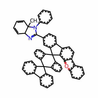 CC12C=CC=CC1N=C(c1ccc3c(c1)C1(c4ccccc4C4(c5ccccc5-c5ccccc54)c4ccccc41)c1c-3ccc3c1oc1ccccc13)N2c1ccccc1